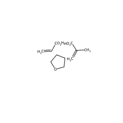 C1CCOC1.C=C(C)C(=O)O.C=CC(=O)O